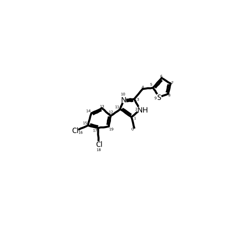 Cc1[nH]c(Cc2cccs2)nc1-c1ccc(Cl)c(Cl)c1